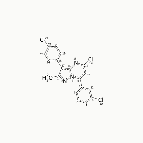 Cc1nn2c(-c3cccc(Cl)c3)cc(Cl)nc2c1-c1ccc(Cl)cc1